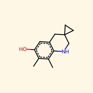 Cc1c(O)cc2c(c1C)NCC1(CC1)C2